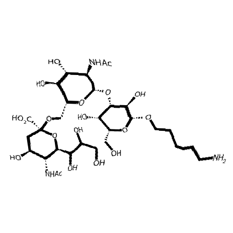 CC(=O)N[C@@H]1[C@@H](O)C[C@](OC[C@H]2O[C@@H](O[C@H]3[C@@H](O)[C@@H](CO)O[C@@H](OCCCCCN)[C@@H]3O)[C@H](NC(C)=O)[C@@H](O)[C@@H]2O)(C(=O)O)O[C@H]1C(O)C(O)CO